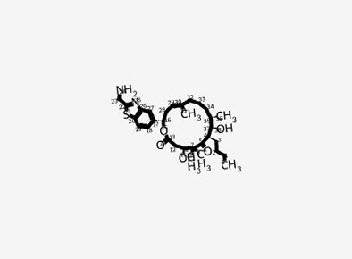 CCCC[C@H]1C(=O)C(C)(C)[C@@H](O)CC(=O)O[C@H](c2ccc3sc(CN)nc3c2)C/C=C(\C)CCC[C@H](C)[C@@H]1O